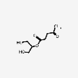 CC(=O)CCC(=O)OC(CO)CO